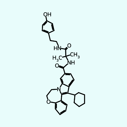 CC(C)(NC(=O)c1ccc2c(C3CCCCC3)c3n(c2c1)CCOc1ccccc1-3)C(=O)NCCc1ccc(O)cc1